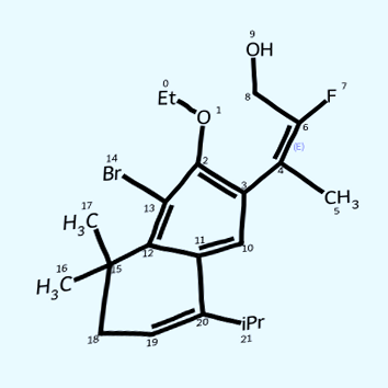 CCOc1c(/C(C)=C(/F)CO)cc2c(c1Br)C(C)(C)CC=C2C(C)C